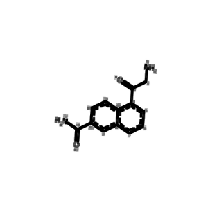 NCC(=O)c1cccc2cc(C(N)=O)ccc12